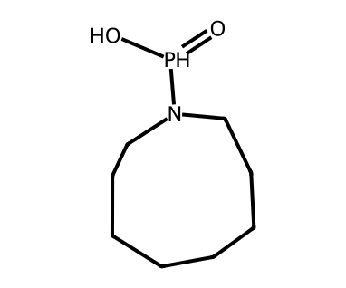 O=[PH](O)N1CCCCCCCC1